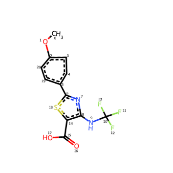 COc1ccc(-c2nc(NC(F)(F)F)c(C(=O)O)s2)cc1